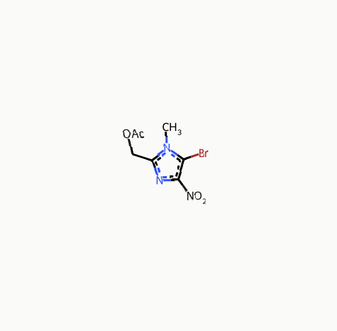 CC(=O)OCc1nc([N+](=O)[O-])c(Br)n1C